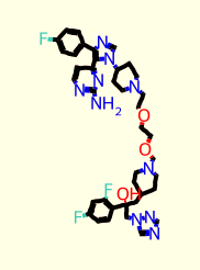 Nc1nccc(-c2c(-c3ccc(F)cc3)ncn2C2CCN(CCOCCOCN3CCC(C[C@@](O)(Cn4cncn4)c4ccc(F)cc4F)CC3)CC2)n1